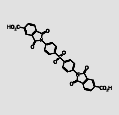 O=C(O)c1ccc2c(c1)C(=O)N(c1ccc(S(=O)(=O)c3ccc(N4C(=O)c5ccc(C(=O)O)cc5C4=O)cc3)cc1)C2=O